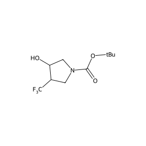 CC(C)(C)OC(=O)N1CC(O)C(C(F)(F)F)C1